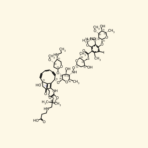 CCN[C@H]1CO[C@@H](O[C@H]2[C@H](O[C@H]3C#CC=CC#C[C@]4(O)CC(=O)C(NC(=O)OC)=C3/C4=C\CSSC(C)(C)CNCCC(=O)O)O[C@H](C)[C@@H](NO[C@H]3C[C@H](O)[C@H](SC(=O)c4c(C)c(I)c(O[C@@H]5O[C@@H](C)[C@H](O)[C@@H](OC)[C@H]5O)c(OC)c4OC)[C@@H](C)O3)[C@@H]2O)C[C@@H]1OC